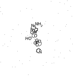 C[C@@]1(O)[C@H](O)[C@@H](CO[P@]2(=O)OCC[C@H](c3cccnc3)O2)O[C@H]1n1ccc2c(N)ncnc21